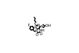 CCCCSc1nc(N2CC(O)C2)c2[nH]c(=O)c(=O)n(Cc3ccc(F)cc3)c2n1